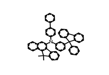 CC1(C)c2ccccc2-c2c(N(c3ccc(-c4ccccc4)cc3)c3cccc(C4(c5ccccc5)c5ccccc5-c5ccccc54)c3)cc3ccccc3c21